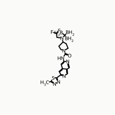 BC(B)(B)N(CC(F)F)C1CCN(C(=O)Nc2cc3cc(-c4nnc(C)s4)ncc3cn2)CC1